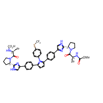 COC(=O)N[C@H](C(=O)N1CCC[C@H]1c1nc(-c2ccc(-c3ccc(-c4ccc(-c5c[nH]c([C@@H]6CCCN6C(=O)[C@@H](NC(=O)O)C(C)C)n5)cc4)n3-c3ccc(SC(F)(F)F)cc3)cc2)c[nH]1)C(C)C